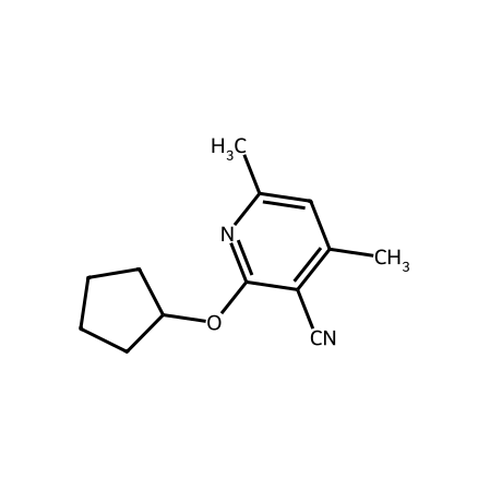 Cc1cc(C)c(C#N)c(OC2CCCC2)n1